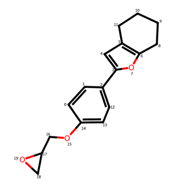 c1cc(-c2cc3c(o2)CCCC3)ccc1OCC1CO1